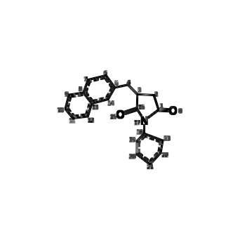 O=C1CC(Cc2ccc3ccccc3c2)C(=O)N1c1ccccc1